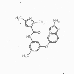 Cc1cc(NC(=O)c2cc(C)nn2C)cc(Oc2ccc3nc(N)cn3c2)c1